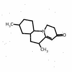 CC1CCC2C(C1)CC(C)C1=CC(=O)CCN12